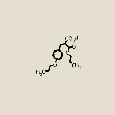 C=CCOC(=O)C(Cc1ccc(OCC=C)cc1)C(=O)O